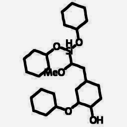 COC(CC1CCC(O)C(OC2CCCCC2)C1)[SiH](OC1CCCCC1)OC1CCCCC1